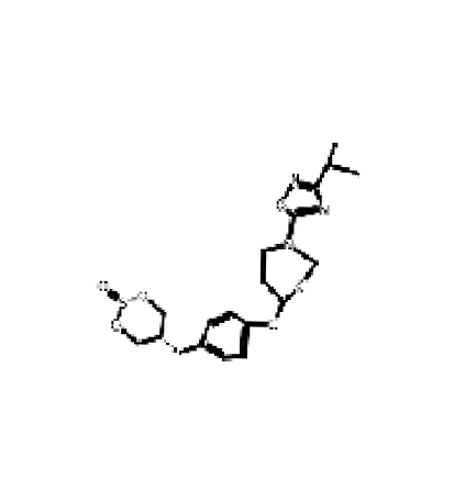 CC(C)c1noc(N2CCC(Oc3ccc(C[C@H]4CO[S@@](=O)OC4)cc3)CC2)n1